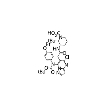 CCOc1ccc(N(C(=O)OC(C)(C)C)c2c(CC(=O)NC3CCCN(C(=O)O)[C@H]3C(C)(C)C)c(Cl)nc3ccnn23)cc1